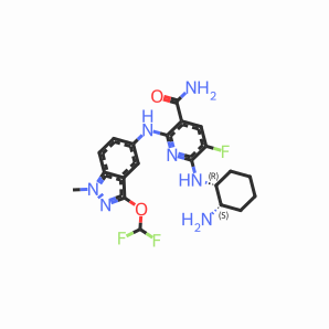 Cn1nc(OC(F)F)c2cc(Nc3nc(N[C@@H]4CCCC[C@@H]4N)c(F)cc3C(N)=O)ccc21